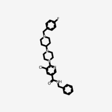 O=C(NCc1ccccc1)c1cnc(N2CCN(C3CCN(Cc4ccc(F)cc4)CC3)CC2)c(Cl)c1